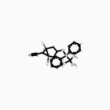 CC(C)(C)[Si](OC1C[C@@H]2C(C#N)[C@@H]2C1)(c1ccccc1)c1ccccc1